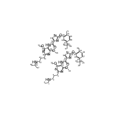 CCNCCCc1nc(OC)c(NC(=O)c2csc(Oc3cc(C(C)(C)C)ccc3C)n2)c(OC)n1.COc1nc(CCCNC(C)C)nc(OC)c1NC(=O)c1csc(Oc2cc(C(C)(C)C)ccc2C)n1